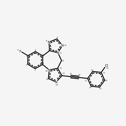 Fc1ccc2c(c1)-c1ncnn1Cc1c(C#Cc3cccc(Cl)c3)ncn1-2